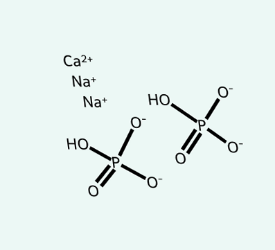 O=P([O-])([O-])O.O=P([O-])([O-])O.[Ca+2].[Na+].[Na+]